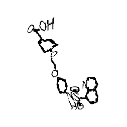 O=C(O)c1ccc(OCCOc2ccc(NS(=O)(=O)c3cccc4cccnc34)cc2)cc1